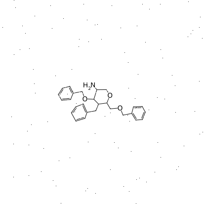 NC1COC(COCc2ccccc2)C(Cc2ccccc2)C1OCc1ccccc1